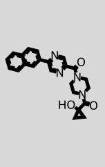 O=C(c1cnc(-c2ccc3ccccc3c2)cn1)N1CCN(C(=O)C2(O)CC2)CC1